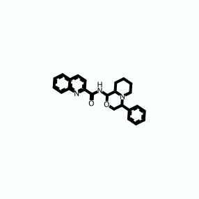 O=C(NC1OCC(c2ccccc2)N2CCCCC12)c1ccc2ccccc2n1